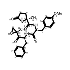 COc1ccc(C[C@H](NC(=O)[C@]2(C)CCC(=O)N2)C(=O)N[C@@H](Cc2ccccc2)C(=O)[C@@]2(C)CO2)cc1